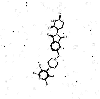 O=C1CCC(N2C(=O)c3ccc(CN4CCN(c5c(F)c(F)nc(F)c5F)CC4)cc3C2=O)C(=O)N1